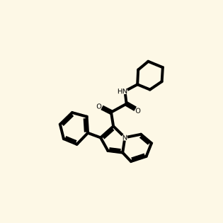 O=C(NC1CCCCC1)C(=O)c1c(-c2ccccc2)cc2ccccn12